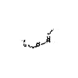 COc1cc2c(c(F)c1OCCCOc1c(OC)cc3sc(C(=O)CCC(=O)O[C@H]4CCN(C(=O)OC(C)(C)C)C4)cc3c1F)CN(C(=O)CCC(=O)OC(C)(C)C)C2